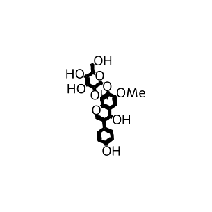 COc1cc2c(cc1OC1OC(CO)C(O)=C(O)C1O)OC=C(c1ccc(O)cc1)C2O